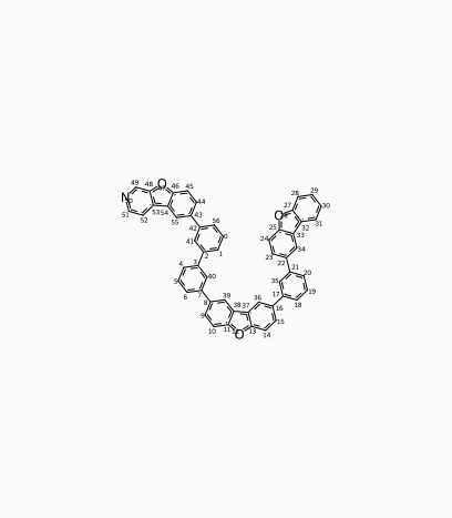 c1cc(-c2cccc(-c3ccc4oc5ccc(-c6cccc(-c7ccc8oc9ccccc9c8c7)c6)cc5c4c3)c2)cc(-c2ccc3oc4cnccc4c3c2)c1